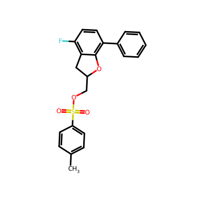 Cc1ccc(S(=O)(=O)OCC2Cc3c(F)ccc(-c4ccccc4)c3O2)cc1